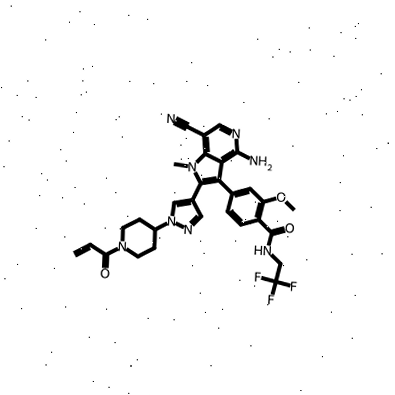 C=CC(=O)N1CCC(n2cc(-c3c(-c4ccc(C(=O)NCC(F)(F)F)c(OC)c4)c4c(N)ncc(C#N)c4n3C)cn2)CC1